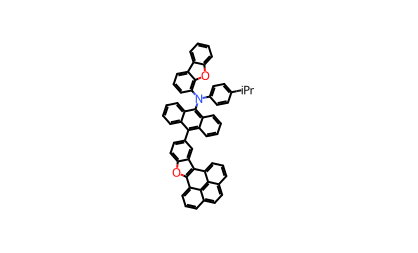 CC(C)c1ccc(N(c2c3ccccc3c(-c3ccc4oc5c6cccc7ccc8cccc(c5c4c3)c8c76)c3ccccc23)c2cccc3c2oc2ccccc23)cc1